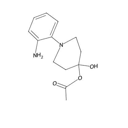 CC(=O)OC1(O)CCN(c2ccccc2N)CC1